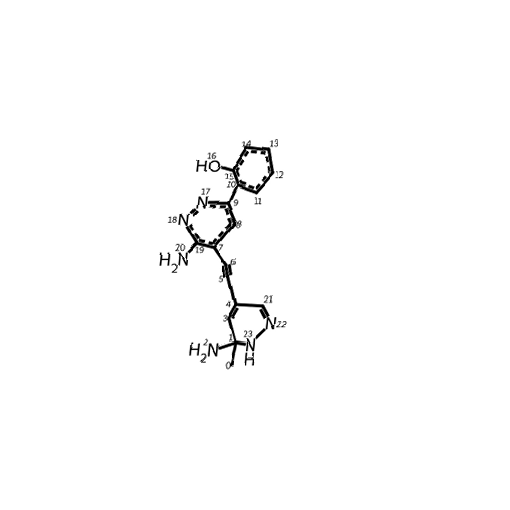 CC1(N)C=C(C#Cc2cc(-c3ccccc3O)nnc2N)C=NN1